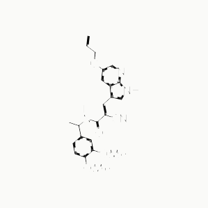 C=CCOc1cnc2[nH]cc(/C=C(\C#N)C(=O)NC(C)c3ccc(OC)c(OC)c3)c2c1